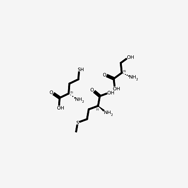 CSCC[C@H](N)C(=O)O.N[C@@H](CCS)C(=O)O.N[C@@H](CO)C(=O)O